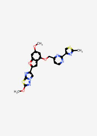 COc1cc(OCc2ccnc(-c3csc(C)n3)n2)c2cc(-c3cn4nc(OC)sc4n3)oc2c1